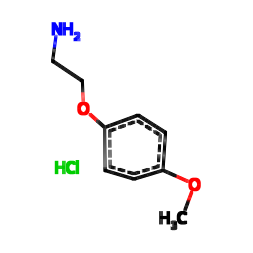 COc1ccc(OCCN)cc1.Cl